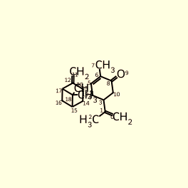 C=C(C)C1CC=C(C)C(=O)C1.C=C1CCC2CC1C2(C)C